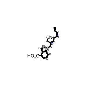 C=C/C=C\C/C=C(\CC#N)Cn1ncc2c(C(=O)O)cccc21